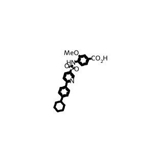 COc1cc(C(=O)O)ccc1NS(=O)(=O)c1ccc(-c2ccc(C3CCCCC3)cc2)nc1